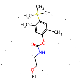 CCOCCNC(=O)Oc1cc(C)c(S(C)(C)C)cc1C